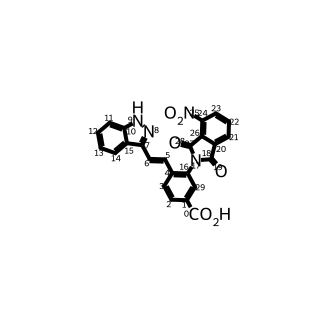 O=C(O)c1ccc(C=Cc2n[nH]c3ccccc23)c(N2C(=O)c3cccc([N+](=O)[O-])c3C2=O)c1